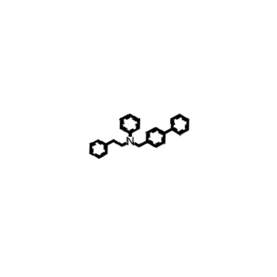 c1ccc(CCN(Cc2ccc(-c3ccccc3)cc2)c2ccccc2)cc1